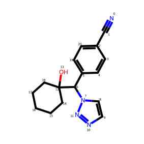 N#Cc1ccc(C(n2ccnn2)C2(O)CCCCC2)cc1